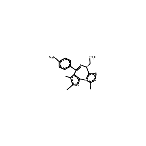 CNc1ccc(C2=N[C@@H](CC(=O)O)c3nnc(C)n3-c3sc(C)c(C)c32)cc1